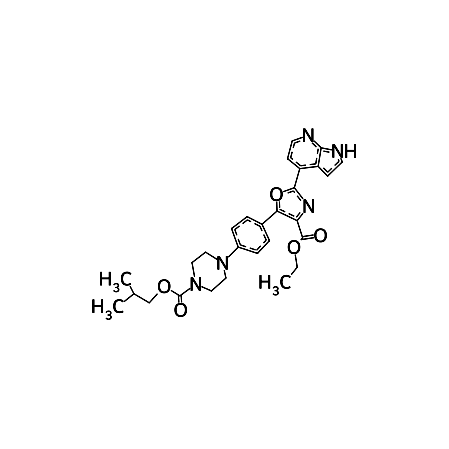 CCOC(=O)c1nc(-c2ccnc3[nH]ccc23)oc1-c1ccc(N2CCN(C(=O)OCC(C)C)CC2)cc1